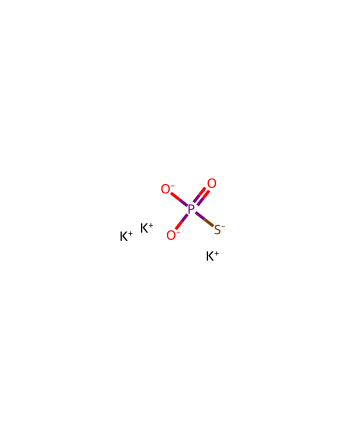 O=P([O-])([O-])[S-].[K+].[K+].[K+]